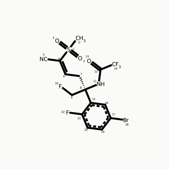 CS(=O)(=O)/C(C#N)=C\C[C@](CF)(NC(=O)C(F)(F)F)c1cc(Br)ccc1F